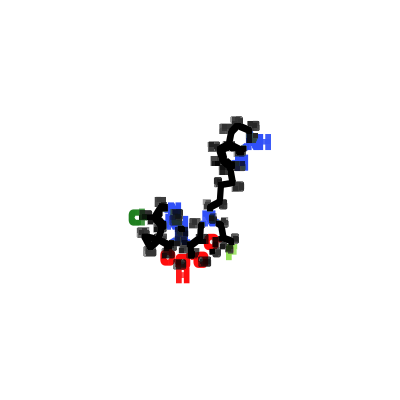 COC(CF)CN(CCCCc1ccc2c(n1)NCCC2)CCC(NC(=O)C1(c2c(Cl)cnn2C)CC1)C(=O)O